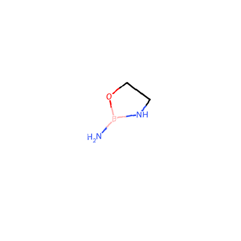 NB1NCCO1